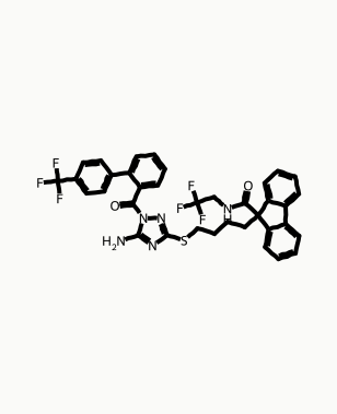 Nc1nc(SCCCCC2(C(=O)NCC(F)(F)F)c3ccccc3-c3ccccc32)nn1C(=O)c1ccccc1-c1ccc(C(F)(F)F)cc1